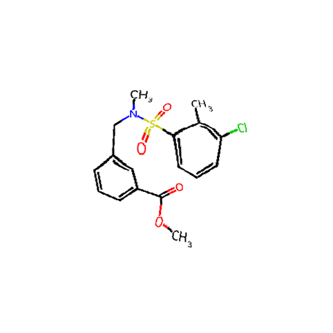 COC(=O)c1cccc(CN(C)S(=O)(=O)c2cccc(Cl)c2C)c1